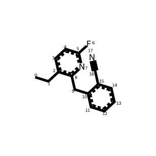 CCc1ccc(F)nc1Cc1ccccc1C#N